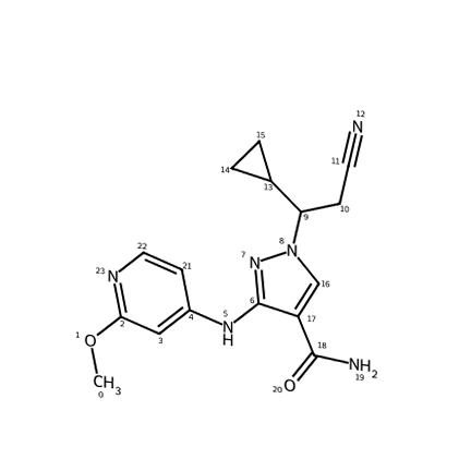 COc1cc(Nc2nn(C(CC#N)C3CC3)cc2C(N)=O)ccn1